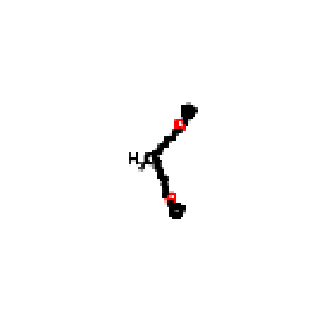 CC(CCCCCCCCOCc1ccccc1)CCCCCCCCOCc1ccccc1